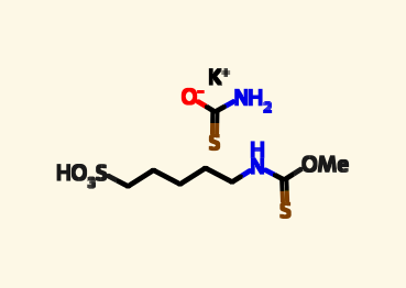 COC(=S)NCCCCCS(=O)(=O)O.NC([O-])=S.[K+]